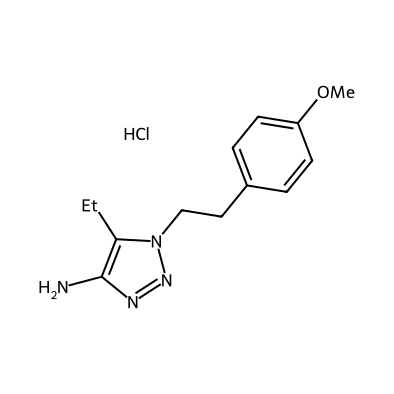 CCc1c(N)nnn1CCc1ccc(OC)cc1.Cl